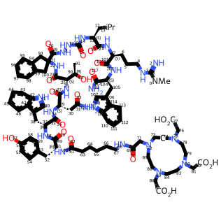 CNC(=N)NCCC[C@H](NC(=O)[C@H](CC(C)C)NC(=O)NNC(=O)C1(NC(=O)[C@@H](NC(=O)[C@H](CC(N)=O)NC(=O)[C@@H](Cc2c[nH]c3ccccc23)NC(=O)[C@@H](Cc2ccc(O)cc2)NC(=O)CCCCCNC(=O)CN2CCN(CC(=O)O)CCN(CC(=O)O)CCN(CC(=O)O)CC2)[C@@H](C)O)Cc2ccccc2C1)C(=O)N[C@@H](Cc1c[nH]c2ccccc12)C(N)=O